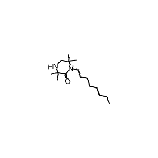 CCCCCCCCN1C(=O)C(C)(C)NCC1(C)C